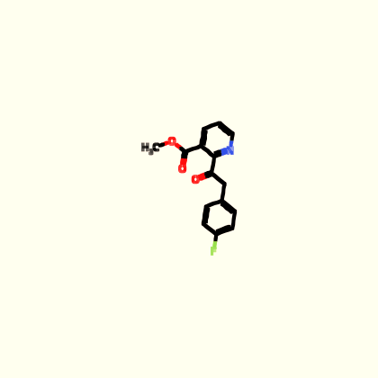 COC(=O)c1cccnc1C(=O)Cc1ccc(F)cc1